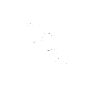 NC1(c2ccc3ccncc3n2)CC1